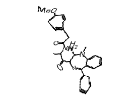 COc1ccc(CC(=O)NC(C)C(=O)C2N=C(c3ccccc3)c3ccccc3N(C)[C@@H]2N)cc1